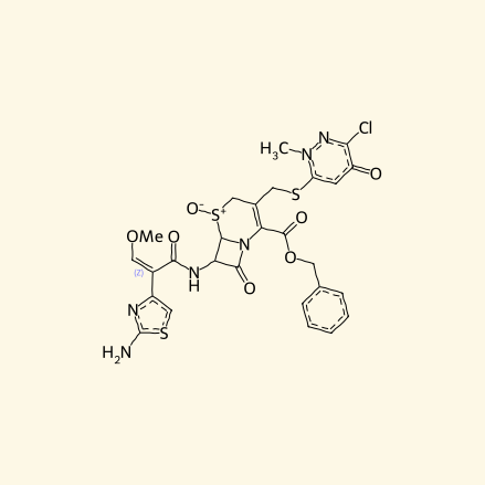 CO/C=C(\C(=O)NC1C(=O)N2C(C(=O)OCc3ccccc3)=C(CSc3cc(=O)c(Cl)nn3C)C[S+]([O-])C12)c1csc(N)n1